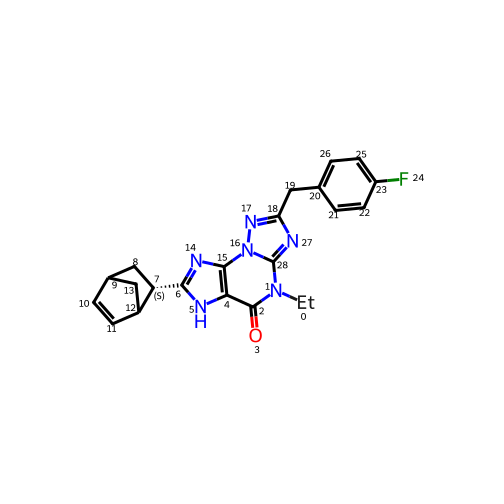 CCn1c(=O)c2[nH]c([C@H]3CC4C=CC3C4)nc2n2nc(Cc3ccc(F)cc3)nc12